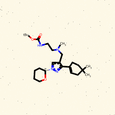 CN(CCNC(=O)OC(C)(C)C)Cc1cn([C@H]2CCCCO2)nc1C1=CCC(C)(C)CC1